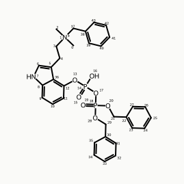 C[N+](C)(CCc1c[nH]c2cccc(OP(=O)(O)OP(=O)(OCc3ccccc3)OCc3ccccc3)c12)Cc1ccccc1